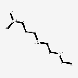 CCOCCOCCC[Si](C)C